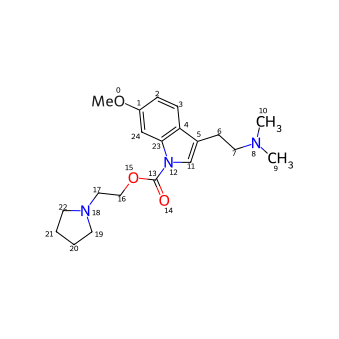 COc1ccc2c(CCN(C)C)cn(C(=O)OCCN3CCCC3)c2c1